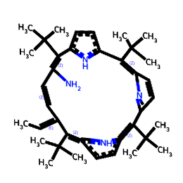 C/C=C1\C=C/C(N)=C(\C(C)(C)C)c2ccc([nH]2)/C(C(C)(C)C)=C2/C=CC(=N2)/C(C(C)(C)C)=c2/cc\c([nH]2)=C\1C(C)(C)C